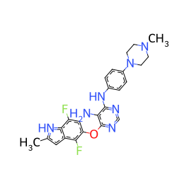 Cc1cc2c(F)c(Oc3ncnc(Nc4ccc(N5CCN(C)CC5)cc4)c3N)cc(F)c2[nH]1